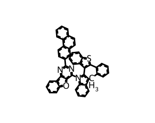 Cc1ccccc1-c1sc2ccccc2c1-c1cc2ccccc2n1-c1nc(-c2ccc3c(ccc4ccccc43)c2)nc2c1oc1ccccc12